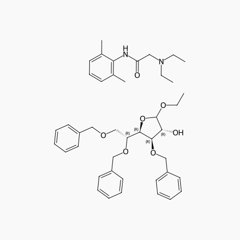 CCN(CC)CC(=O)Nc1c(C)cccc1C.CCOC1O[C@H]([C@@H](COCc2ccccc2)OCc2ccccc2)[C@H](OCc2ccccc2)[C@H]1O